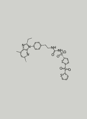 CCc1nc2c(C)cc(C)nc2n1-c1ccc(CCNC(=O)NS(=O)(=O)c2ccc(S(=O)(=O)c3cccs3)s2)cc1